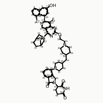 CCc1cccc2cc(O)cc(-c3ncc4c(N5CC6CCC(C5)N6C)nc(OCCN5CCC(CC6CCN(c7cccc8c7CN(C7CCC(=O)NC7=O)C8=O)CC6)CC5)nc4c3F)c12